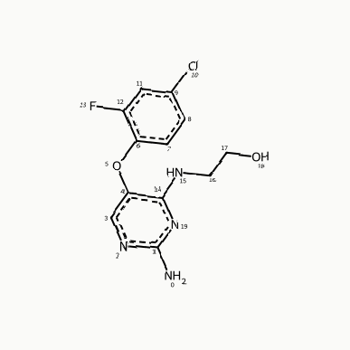 Nc1ncc(Oc2ccc(Cl)cc2F)c(NCCO)n1